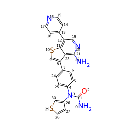 NC(=O)N(c1ccc(-c2csc3c(-c4ccncc4)cnc(N)c23)cc1)c1ccsc1